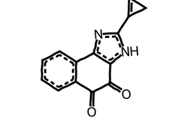 O=C1C(=O)c2[nH]c(C3=CC3)nc2-c2ccccc21